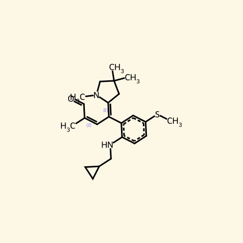 CSc1ccc(NCC2CC2)c(C(/C=C(/C)C=O)=C2\CC(C)(C)CN2C)c1